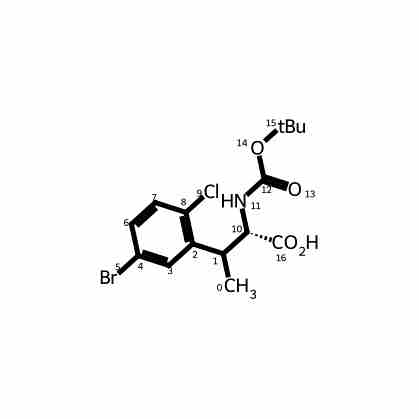 CC(c1cc(Br)ccc1Cl)[C@H](NC(=O)OC(C)(C)C)C(=O)O